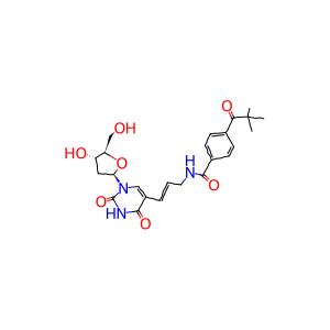 CC(C)(C)C(=O)c1ccc(C(=O)NCC=Cc2cn([C@H]3C[C@H](O)[C@@H](CO)O3)c(=O)[nH]c2=O)cc1